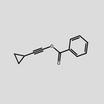 O=C(OC#CC1CC1)c1ccccc1